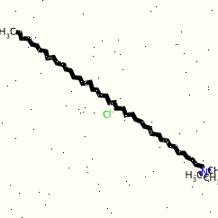 CCCCCCCCCCCCCCCCCCCCCCCCCCCCCCCCCCCCCCCCCCCC[N+](C)(C)C.[Cl-]